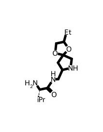 CCC1COC2(CNC(CNC(=O)[C@@H](N)C(C)C)C2)O1